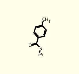 Cc1ccc(C(=O)SC(C)C)cc1